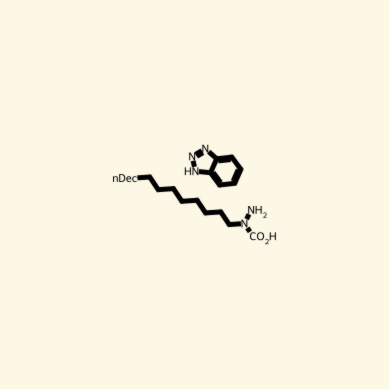 CCCCCCCCCCCCCCCCCCN(N)C(=O)O.c1ccc2[nH]nnc2c1